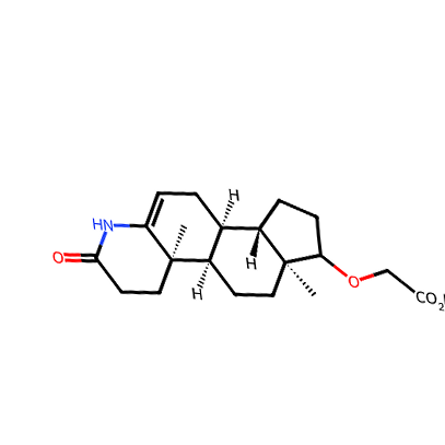 CCOC(=O)COC1CC[C@H]2[C@@H]3CC=C4NC(=O)CC[C@]4(C)[C@@H]3CC[C@]12C